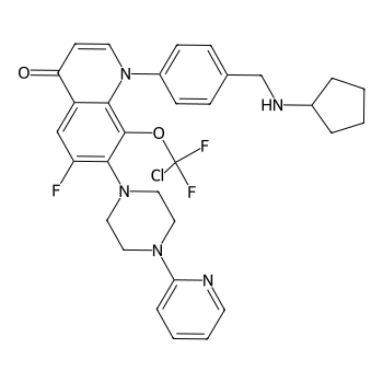 O=c1ccn(-c2ccc(CNC3CCCC3)cc2)c2c(OC(F)(F)Cl)c(N3CCN(c4ccccn4)CC3)c(F)cc12